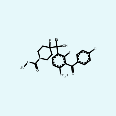 CCC(O)(c1ccc(C(=O)O)c(C(=O)c2ccc(Cl)cc2)c1F)C1(F)CCN(C(=O)OC(C)(C)C)CC1